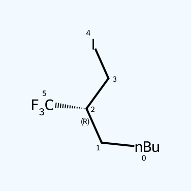 CCCCC[C@@H](CI)C(F)(F)F